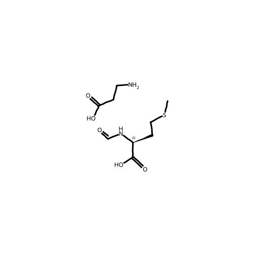 CSCC[C@H](NC=O)C(=O)O.NCCC(=O)O